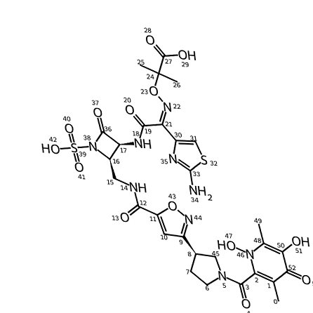 Cc1c(C(=O)N2CC[C@@H](c3cc(C(=O)NC[C@@H]4[C@H](NC(=O)/C(=N\OC(C)(C)C(=O)O)c5csc(N)n5)C(=O)N4S(=O)(=O)O)on3)C2)n(O)c(C)c(O)c1=O